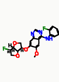 COc1cc2c(Nc3ccccc3F)ncnc2cc1O[C@@H]1CO[C@@H]2C1OC[C@H]2F